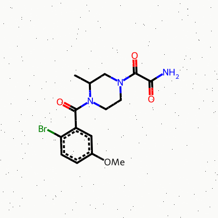 COc1ccc(Br)c(C(=O)N2CCN(C(=O)C(N)=O)CC2C)c1